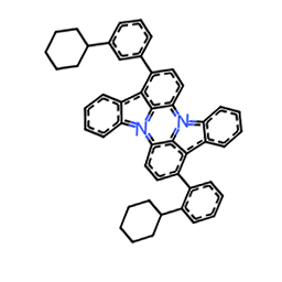 c1cc(-c2ccc3c4c2c2ccccc2n4c2ccc(-c4ccccc4C4CCCCC4)c4c5ccccc5n3c42)cc(C2CCCCC2)c1